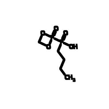 CCCCP(=O)(O)P1(=O)OCO1